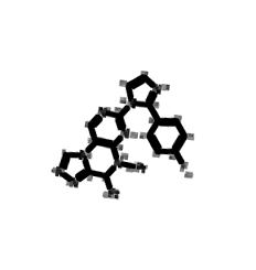 CCC1c2nncn2-c2cnc(-n3ccnc3-c3ccc(F)cc3)nc2N1C(C)C